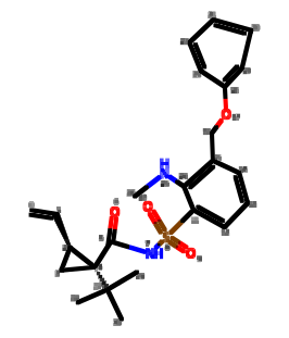 C=C[C@@H]1C[C@@]1(C(=O)NS(=O)(=O)c1cccc(COc2ccccc2)c1NC)C(C)(C)C